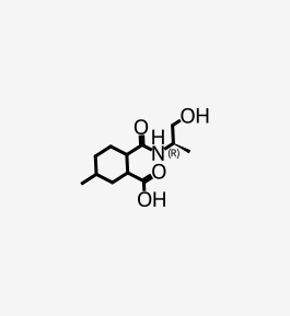 CC1CCC(C(=O)N[C@H](C)CO)C(C(=O)O)C1